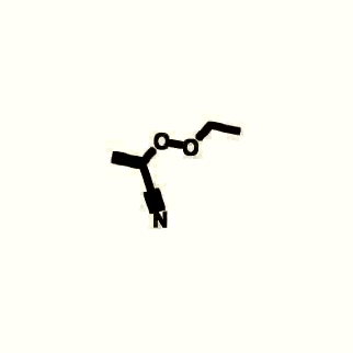 C=C(C#N)OOCC